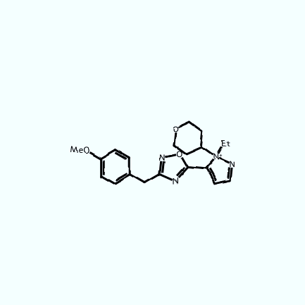 CC[N+]1(C2CCOCC2)N=CC=C1c1nc(Cc2ccc(OC)cc2)no1